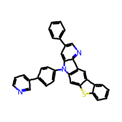 c1ccc(-c2cnc3c4cc5c(cc4n(-c4ccc(-c6cccnc6)cc4)c3c2)sc2ccccc25)cc1